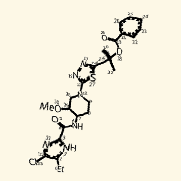 CCc1[nH]c(C(=O)NC2CCN(c3nnc(C(C)(C)OC(=O)c4ccccc4)s3)CC2OC)nc1Cl